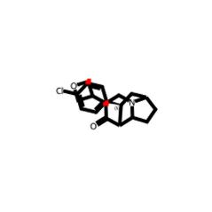 O=C1C(C2COC2)CN2C3CCC2C1[C@@H](c1ccc(Cl)cc1)C3